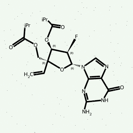 C=C[C@]1(COC(=O)C(C)C)O[C@@H](n2cnc3c(=O)[nH]c(N)nc32)[C@H](F)[C@@H]1OC(=O)C(C)C